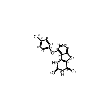 O=c1[nH]c(=O)c2sc3cncc(Oc4ccc(Cl)cc4)c3c2[nH]1